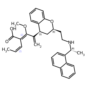 C=C(/C(OC)=C(\C=C/C)C(=O)O)[C@@H]1C[C@H](CCN[C@H](C)c2cccc3ccccc23)Oc2ccccc21